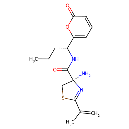 C=C(C)C1=N[C@](N)(C(=O)N[C@H](CCC)c2cccc(=O)o2)CS1